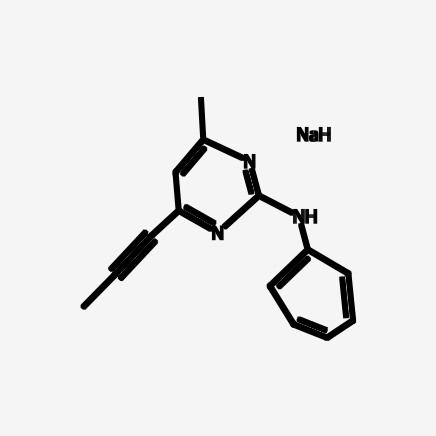 CC#Cc1cc(C)nc(Nc2ccccc2)n1.[NaH]